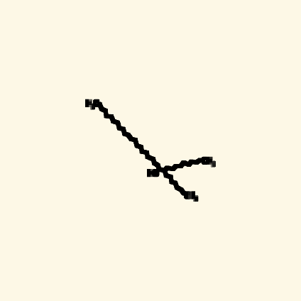 CCCCCCCCCCCCCCCCCCCCCCC(O)C(CCCCCCCC)CCCCCCCCCC